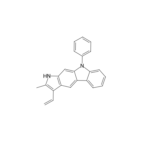 C=Cc1c(C)[nH]c2cc3c(cc12)c1ccccc1n3-c1ccccc1